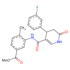 COC(=O)c1ccc(C)c(NC(=O)C2=CNC(=O)CC2c2cccc(F)c2)c1